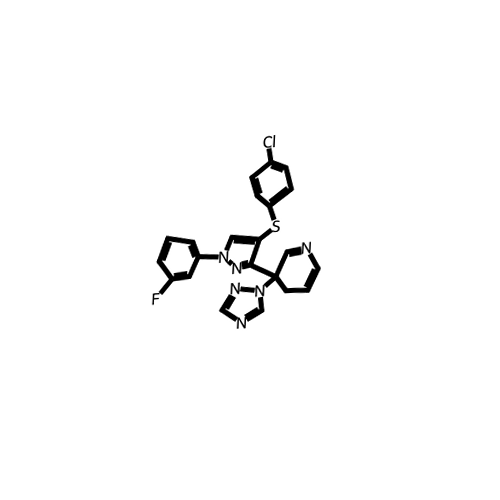 Fc1cccc(-n2cc(Sc3ccc(Cl)cc3)c(C3(n4cncn4)C=NC=CC3)n2)c1